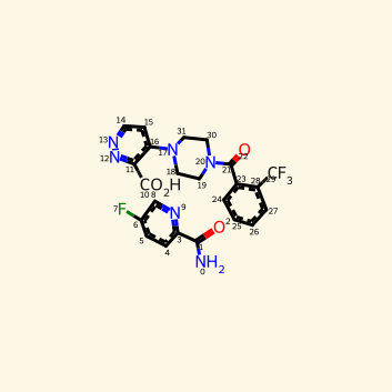 NC(=O)c1ccc(F)cn1.O=C(O)c1nnccc1N1CCN(C(=O)c2ccccc2C(F)(F)F)CC1